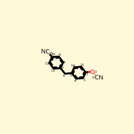 N#COc1ccc(Cc2ccc(C#N)cc2)cc1